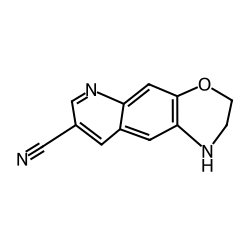 N#Cc1cnc2cc3c(cc2c1)NCCO3